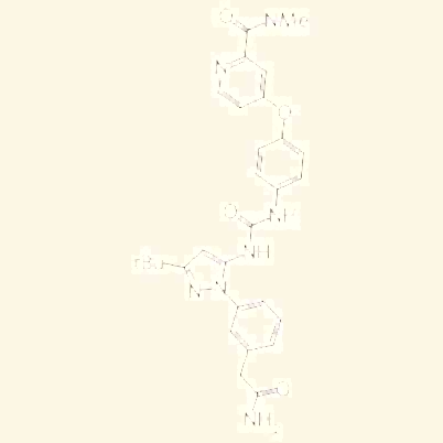 CNC(=O)c1cc(Oc2ccc(NC(=O)Nc3cc(C(C)(C)C)nn3-c3cccc(CC(N)=O)c3)cc2)ccn1